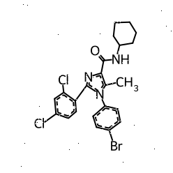 Cc1c(C(=O)NC2CCCCC2)nc(-c2ccc(Cl)cc2Cl)n1-c1ccc(Br)cc1